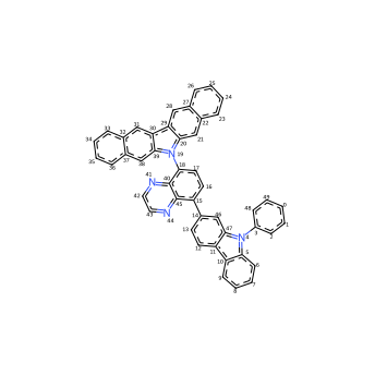 c1ccc(-n2c3ccccc3c3ccc(-c4ccc(-n5c6cc7ccccc7cc6c6cc7ccccc7cc65)c5nccnc45)cc32)cc1